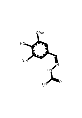 COc1cc(/C=N\NC(N)=O)cc([N+](=O)[O-])c1O